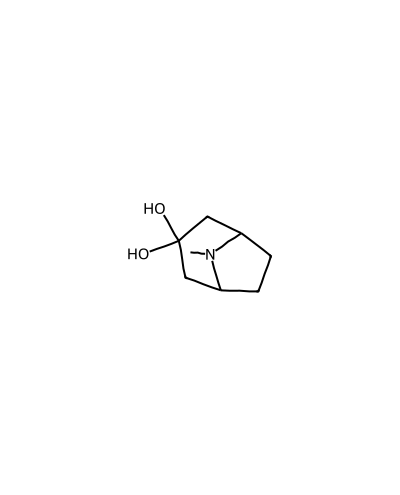 CN1C2CCC1CC(O)(O)C2